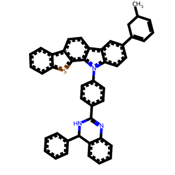 CC1C=CC=C(c2ccc3c(c2)c2ccc4c5ccccc5sc4c2n3-c2ccc(C3=Nc4ccccc4C(c4ccccc4)N3)cc2)C1